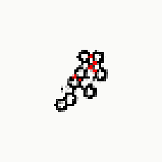 CC1(C)c2ccccc2-c2cccc(N(c3ccccc3-c3cccc4c3C3C=Cc5ccccc5C3O4)c3cccc4c3oc3ccccc34)c21